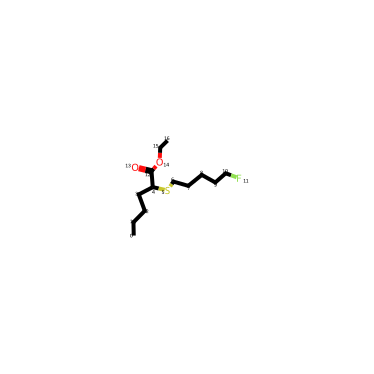 CCCCC(SCCCCCF)C(=O)OCC